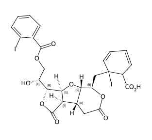 O=C1C[C@H]2[C@H](O[C@@H]3[C@@H]([C@H](O)COC(=O)c4ccccc4I)OC(=O)[C@H]23)[C@@H](CC2(I)C=CC=CC2C(=O)O)O1